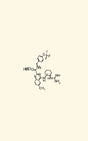 Cc1ccc2nc(C(=O)NCc3ccc(OC(F)(F)F)cc3)nc(N[C@H]3CCCC[C@H]3NC(=N)N)c2c1.Cl.Cl